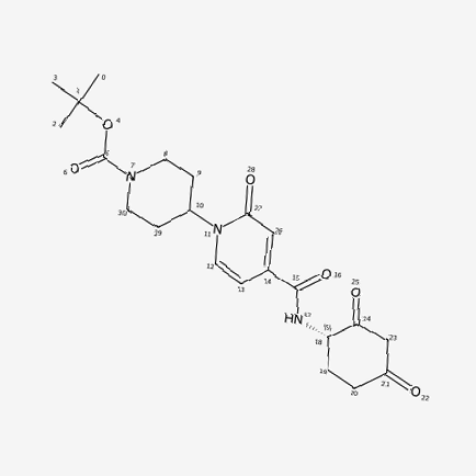 CC(C)(C)OC(=O)N1CCC(n2ccc(C(=O)N[C@H]3CCC(=O)CC3=O)cc2=O)CC1